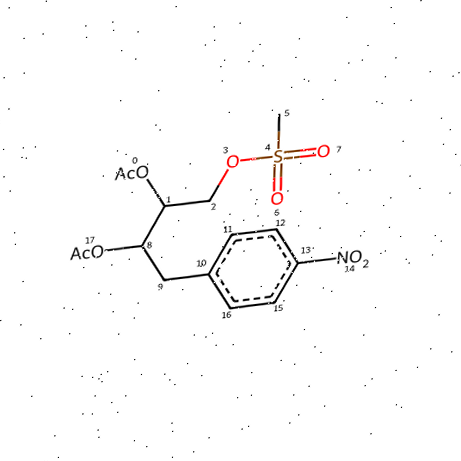 CC(=O)OC(COS(C)(=O)=O)C(Cc1ccc([N+](=O)[O-])cc1)OC(C)=O